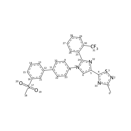 Cc1nsc(-c2cn(-c3ccc(-c4cccc(S(C)(=O)=O)c4)cc3)c(-c3ccccc3C(F)(F)F)n2)n1